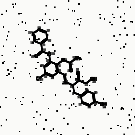 CC(C)C(=O)Oc1c(C=NC(Cc2ccc(O)cc2)C(=O)CO)cc(Cl)cc1OC(=O)c1cccnc1